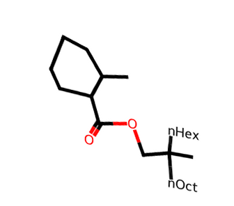 CCCCCCCCC(C)(CCCCCC)COC(=O)C1CCCCC1C